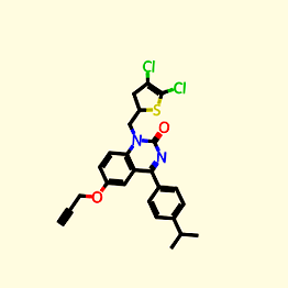 C#CCOc1ccc2c(c1)c(-c1ccc(C(C)C)cc1)nc(=O)n2CC1CC(Cl)=C(Cl)S1